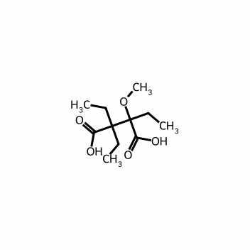 CCC(CC)(C(=O)O)C(CC)(OC)C(=O)O